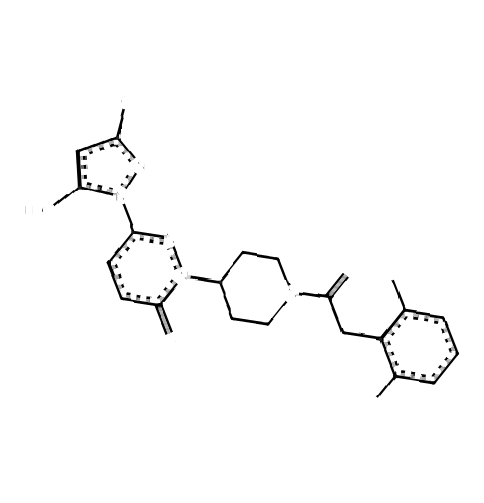 Cc1cc(C)n(-c2ccc(=O)n(C3CCN(C(=O)Cc4c(F)cccc4Cl)CC3)n2)n1